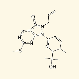 C=CCn1c(=O)c2cnc(SC)nc2n1C1=NC(C(C)(C)O)C(C)C=C1